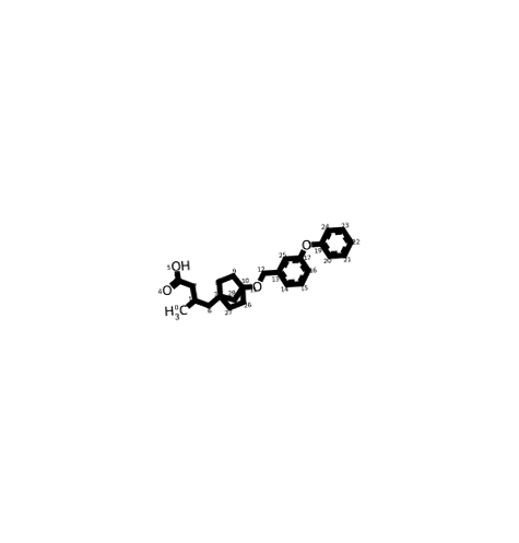 CC(CC(=O)O)CC12CCC(OCc3cccc(Oc4ccccc4)c3)(CC1)C2